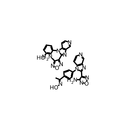 CC(=NO)c1ccc(-n2c(-c3nonc3N)nc3cnccc32)cc1.Nc1nonc1-c1nc2cnccc2n1-c1cccc(O)c1